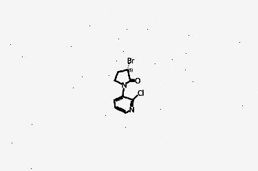 O=C1[C@@H](Br)CCN1c1cccnc1Cl